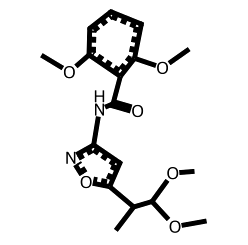 COc1cccc(OC)c1C(=O)Nc1cc(C(C)C(OC)OC)on1